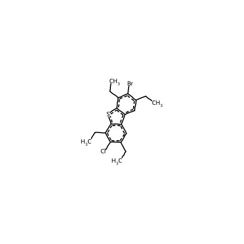 CCc1cc2c(sc3c(CC)c(Br)c(CC)cc32)c(CC)c1Cl